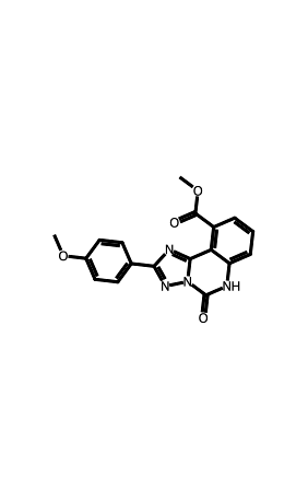 COC(=O)c1cccc2[nH]c(=O)n3nc(-c4ccc(OC)cc4)nc3c12